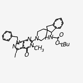 Cn1c(N2CCC3(CC2)Cc2ccccc2[C@H]3NC(=O)OC(C)(C)C)nc2c(c(I)nn2Cc2ccccc2)c1=O